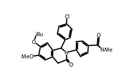 CCC(C)Oc1cc2c(cc1OC)CC(=O)N(c1ccc(C(=O)NC)cc1)C2c1ccc(Cl)cc1